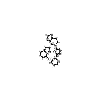 FC(F)(F)c1cccc2cc([C@@H]3c4nc[nH]c4CCN3c3nnc(-c4ccccn4)o3)nn12